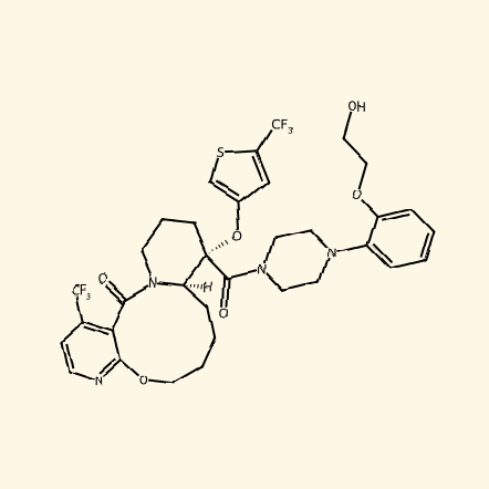 O=C1c2c(C(F)(F)F)ccnc2OCCCC[C@H]2N1CCC[C@@]2(Oc1csc(C(F)(F)F)c1)C(=O)N1CCN(c2ccccc2OCCO)CC1